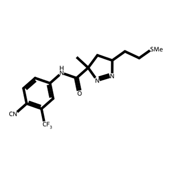 [C-]#[N+]c1ccc(NC(=O)C2(C)CC(CCSC)N=N2)cc1C(F)(F)F